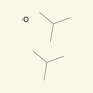 CC(C)C.CC(C)C.[O]